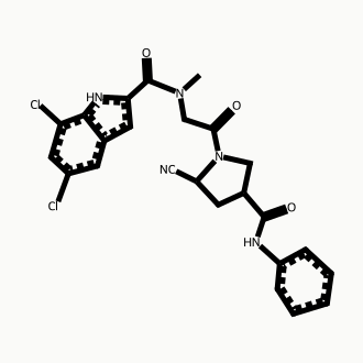 CN(CC(=O)N1CC(C(=O)Nc2ccccc2)CC1C#N)C(=O)c1cc2cc(Cl)cc(Cl)c2[nH]1